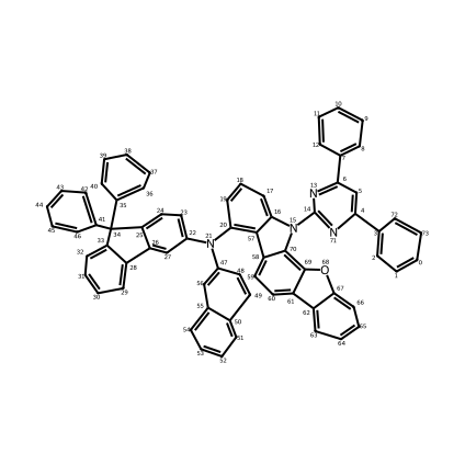 c1ccc(-c2cc(-c3ccccc3)nc(-n3c4cccc(N(c5ccc6c(c5)-c5ccccc5C6(c5ccccc5)c5ccccc5)c5ccc6ccccc6c5)c4c4ccc5c6ccccc6oc5c43)n2)cc1